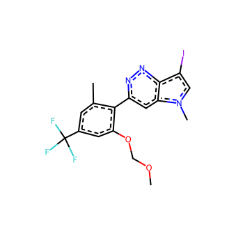 COCOc1cc(C(F)(F)F)cc(C)c1-c1cc2c(nn1)c(I)cn2C